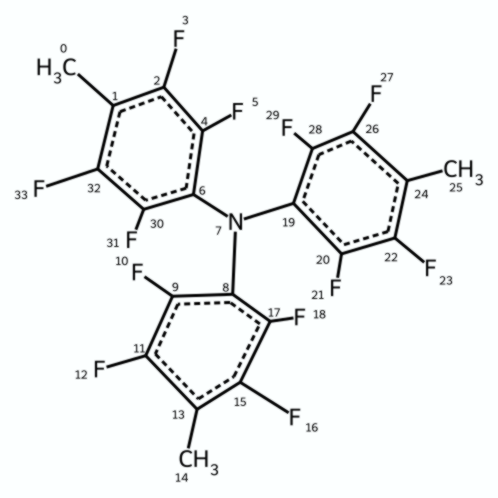 Cc1c(F)c(F)c(N(c2c(F)c(F)c(C)c(F)c2F)c2c(F)c(F)c(C)c(F)c2F)c(F)c1F